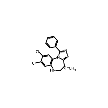 C[C@@H]1CNc2cc(Cl)c(Cl)cc2-n2c(-c3ccccc3)nnc21